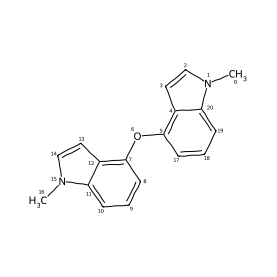 Cn1ccc2c(Oc3cccc4c3ccn4C)cccc21